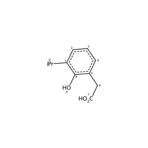 CC(C)c1cccc(CC(=O)O)c1O